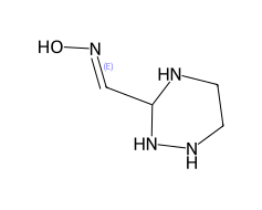 O/N=C/C1NCCNN1